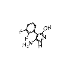 Nc1[nH]nc(O)c1-c1cccc(F)c1F